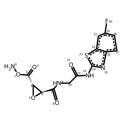 NOC(=O)[C@H]1O[C@@H]1C(=O)NCC(=O)Nc1nc2ccc(F)cc2s1